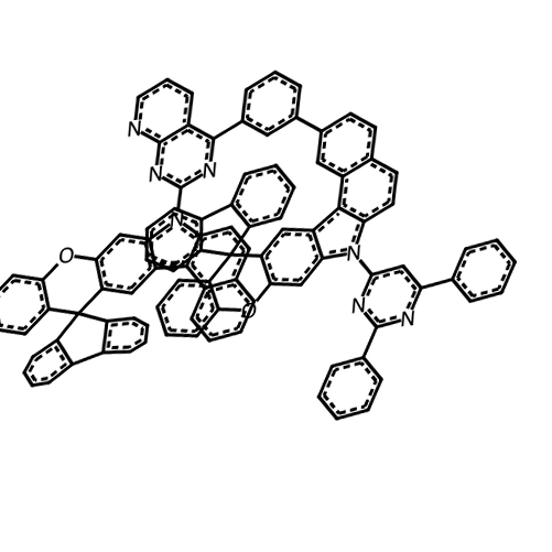 c1ccc(-c2cc(-n3c4cc5c(cc4c4c6cc(-c7cccc(-c8nc(-n9c%10cc%11c(cc%10c%10c%12ccccc%12ccc%109)C9(c%10ccccc%10O%11)c%10ccccc%10-c%10ccccc%109)nc9ncccc89)c7)ccc6ccc43)C3(c4ccccc4O5)c4ccccc4-c4ccccc43)nc(-c3ccccc3)n2)cc1